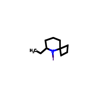 CCC1CCCC2(CCC2)N1I